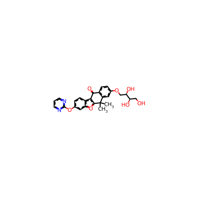 CC1(C)c2cc(OC[C@@H](O)[C@H](O)CO)ccc2C(=O)c2c1oc1cc(Oc3ncccn3)ccc21